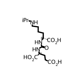 CC(C)NCCCC[C@@H](NC(=O)N[C@@H](CCC(=O)O)C(=O)O)C(=O)O